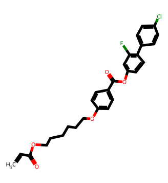 C=CC(=O)OCCCCCCOc1ccc(C(=O)Oc2ccc(-c3ccc(Cl)cc3)c(F)c2)cc1